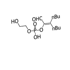 CCCCC(CCCC)=C(C=O)OP(=O)(O)OCCO